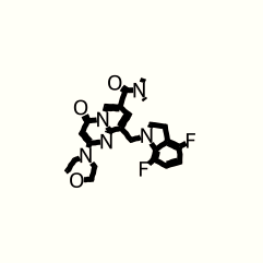 CN(C)C(=O)c1cc(CN2CCc3c(F)ccc(F)c32)c2nc(N3CCOCC3)cc(=O)n2c1